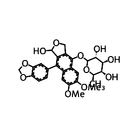 COc1cc2c(OC3O[C@H](C)[C@H](O)[C@H](O)[C@H]3O)c3c(c(-c4ccc5c(c4)OCO5)c2cc1OC)C(O)OC3